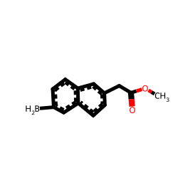 Bc1ccc2cc(CC(=O)OC)ccc2c1